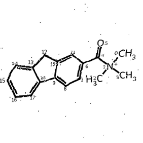 C[N+](C)(C)C(=O)c1ccc2c(c1)Cc1ccccc1-2